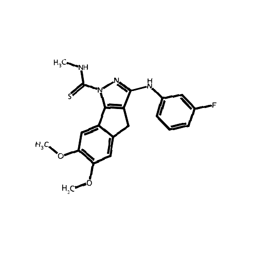 CNC(=S)n1nc(Nc2cccc(F)c2)c2c1-c1cc(OC)c(OC)cc1C2